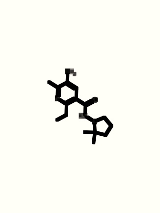 CCc1nc(C)c(N)cc1C(=O)NN1CCCC1(C)C